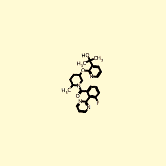 CC1CCC(Oc2ncccc2C(C)(C)O)CN1C(=O)c1cccc(F)c1-c1ncccn1